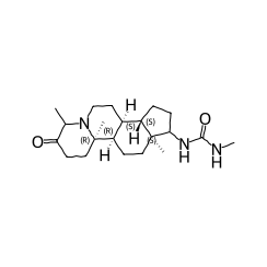 CNC(=O)NC1CC[C@H]2[C@@H]3CCN4C(C)C(=O)CC[C@]4(C)[C@@H]3CC[C@]12C